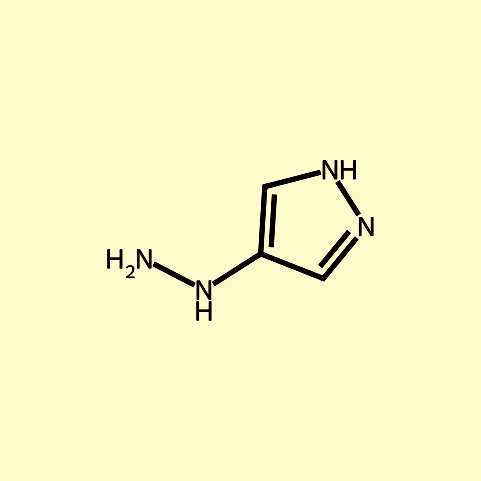 NNc1cn[nH]c1